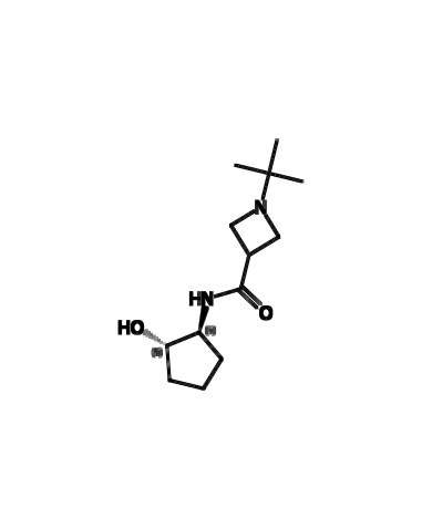 CC(C)(C)N1CC(C(=O)N[C@H]2CCC[C@@H]2O)C1